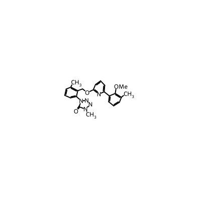 COc1c(C)cccc1-c1cccc(OCc2c(C)cccc2-n2nnn(C)c2=O)n1